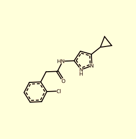 O=C(Cc1ccccc1Cl)Nc1cc(C2CC2)n[nH]1